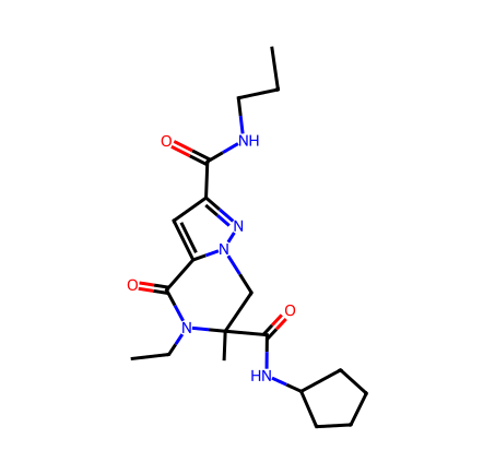 CCCNC(=O)c1cc2n(n1)CC(C)(C(=O)NC1CCCC1)N(CC)C2=O